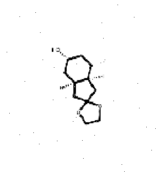 O[C@@H]1CC[C@H]2CC3(C[C@H]2C1)OCCO3